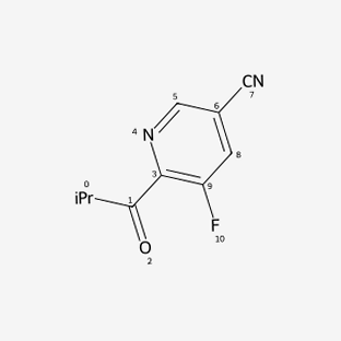 CC(C)C(=O)c1ncc(C#N)cc1F